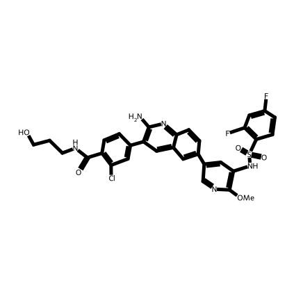 COc1ncc(-c2ccc3nc(N)c(-c4ccc(C(=O)NCCCO)c(Cl)c4)cc3c2)cc1NS(=O)(=O)c1ccc(F)cc1F